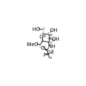 COCC1O[C@H](CO)[C@H](O)[C@H](O)C1NC(=O)C(C)(F)F